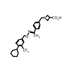 C/C(=N\OCc1ccc(C2CCCCC2)c(C(F)(F)F)c1)c1ccc(CN2CC(C(=O)O)C2)cc1